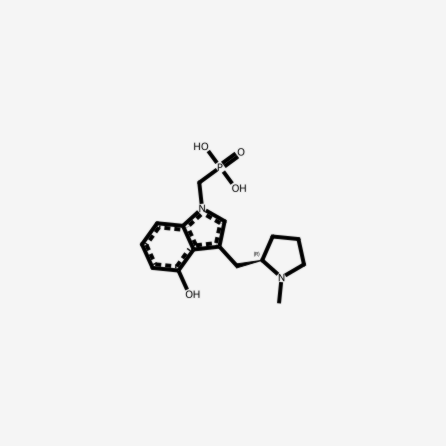 CN1CCC[C@@H]1Cc1cn(CP(=O)(O)O)c2cccc(O)c12